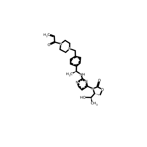 C=CC(=O)N1CCN(Cc2ccc([C@H](C)Nc3nccc(N4C(=O)OC[C@@H]4[C@@H](C)O)n3)cc2)CC1